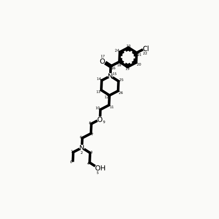 CCN(CCO)CCCOCCC1CCN(C(=O)c2ccc(Cl)cc2)CC1